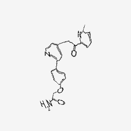 Cc1cccc(C(=O)Cc2ccnc(-c3ccc(OCC(N)=O)cc3)c2)n1